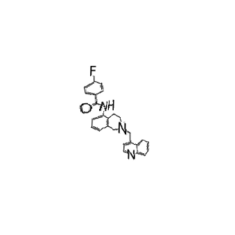 O=C(Nc1cccc2c1CCN(Cc1ccnc3ccccc13)C2)c1ccc(F)cc1